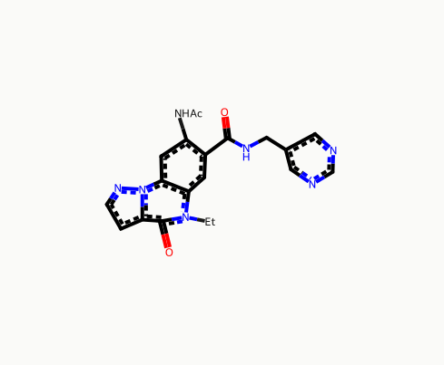 CCn1c(=O)c2ccnn2c2cc(NC(C)=O)c(C(=O)NCc3cncnc3)cc21